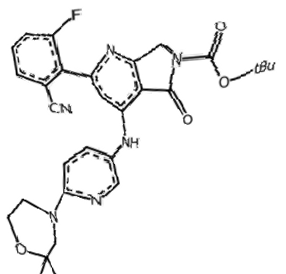 CC(C)(C)OC(=O)N1Cc2nc(-c3c(F)cccc3C#N)cc(Nc3ccc(N4CCOC5(CC5)C4)nc3)c2C1=O